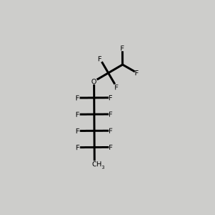 CC(F)(F)C(F)(F)C(F)(F)C(F)(F)OC(F)(F)C(F)F